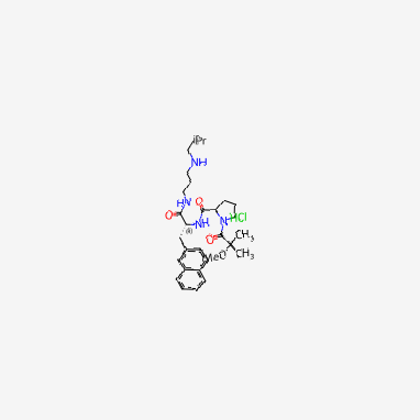 COC(C)(C)C(=O)N1CCCC1C(=O)N[C@H](Cc1ccc2ccccc2c1)C(=O)NCCCNCC(C)C.Cl